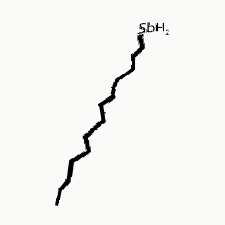 CCCCCCCCCCCC[CH2][SbH2]